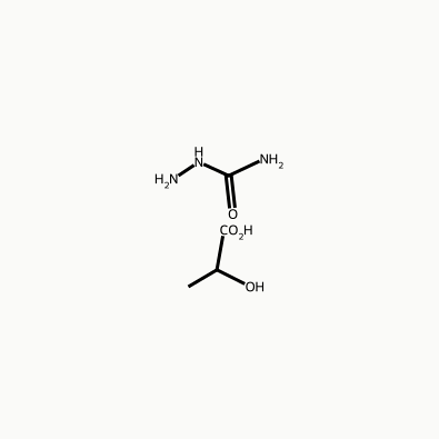 CC(O)C(=O)O.NNC(N)=O